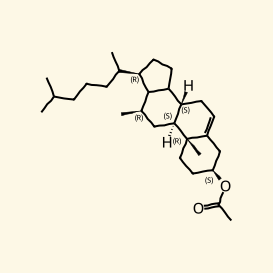 CC(=O)O[C@H]1CC[C@@]2(C)C(=CC[C@H]3C4CC[C@H](C(C)CCCC(C)C)C4[C@H](C)C[C@@H]32)C1